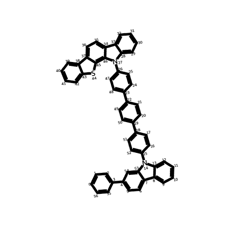 c1ccc(-c2ccc3c4ccccc4n(-c4ccc(-c5ccc(-c6ccc(-n7c8ccccc8c8ccc9c%10ccccc%10sc9c87)cc6)cc5)cc4)c3c2)cc1